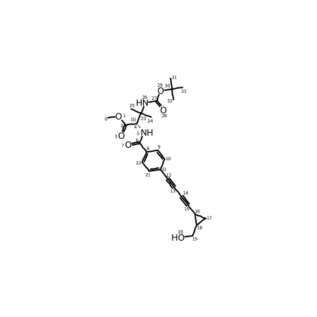 COC(=O)[C@@H](NC(=O)c1ccc(C#CC#CC2CC2CO)cc1)C(C)(C)NC(=O)OC(C)(C)C